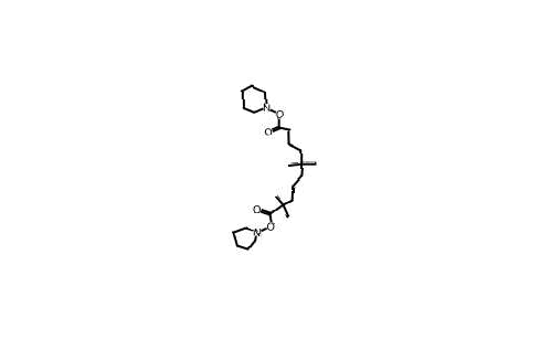 CC(C)(CCCC(=O)ON1CCCCC1)CCCC(C)(C)C(=O)ON1CCCCC1